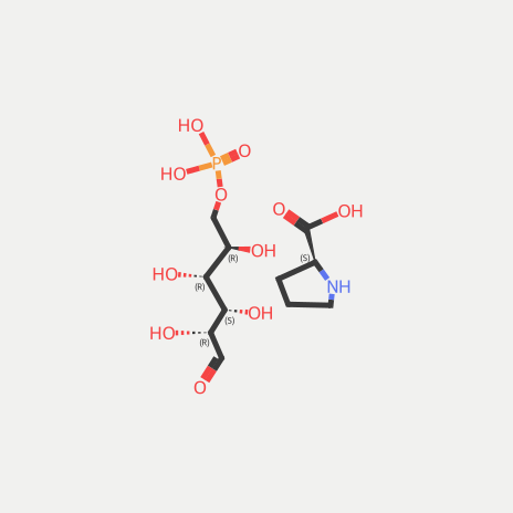 O=C(O)[C@@H]1CCCN1.O=C[C@H](O)[C@@H](O)[C@H](O)[C@H](O)COP(=O)(O)O